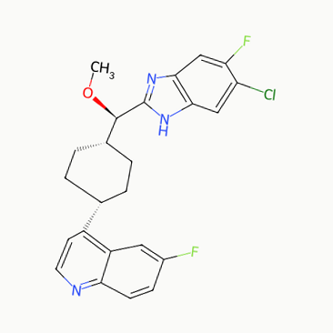 CO[C@@H](c1nc2cc(F)c(Cl)cc2[nH]1)[C@H]1CC[C@@H](c2ccnc3ccc(F)cc32)CC1